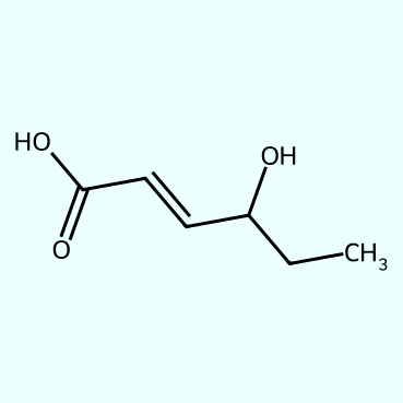 CCC(O)/C=C/C(=O)O